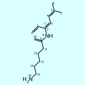 C=C/C(=C\C=C(C)C)NC(=C)CCCCCN